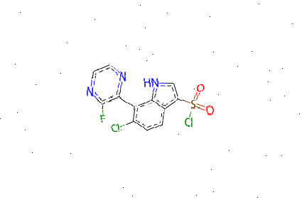 O=S(=O)(Cl)c1c[nH]c2c(-c3nccnc3F)c(Cl)ccc12